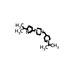 CC(C)c1ccc(N2CCN(CC3CCN(C(C)C)CC3)CC2)cn1